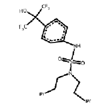 CC(C)CCN(CCC(C)C)S(=O)(=O)Nc1ccc(C(O)(C(F)(F)F)C(F)(F)F)cc1